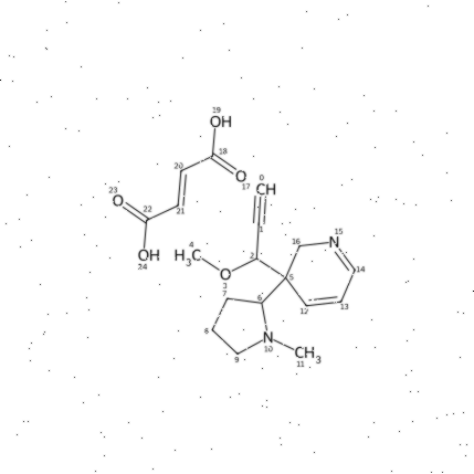 C#CC(OC)C1(C2CCCN2C)C=CC=NC1.O=C(O)C=CC(=O)O